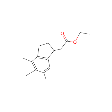 CCOC(=O)CC1CCc2c1cc(C)c(C)c2C